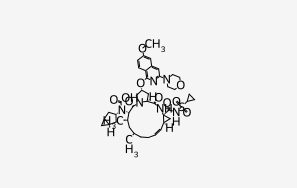 COc1ccc2c(O[C@@H]3C[C@H]4C(=O)N[C@]5(C(=O)NS(=O)(=O)C6CC6)C[C@H]5/C=C\CC[C@@H](C)C[C@@H](C)[C@H](N(C(=O)O)[C@H]5CC6C[C@H]6C5)C(=O)N4C3)nc(N3CCOCC3)cc2c1